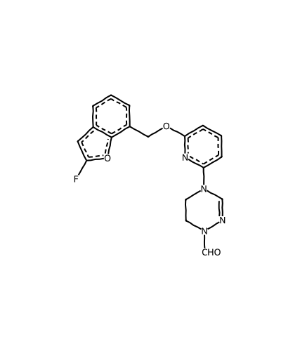 O=CN1CCN(c2cccc(OCc3cccc4cc(F)oc34)n2)C=N1